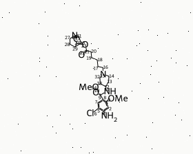 COc1cc(N)c(Cl)cc1C(=O)NC1CCN(CCCCCC(=O)OC2CN3CCC2CC3)C[C@@H]1OC